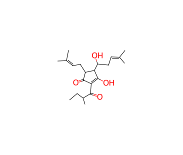 CCC(C)C(=O)C1=C(O)C(C(O)CC=C(C)C)C(CC=C(C)C)C1=O